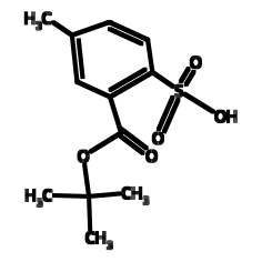 Cc1ccc(S(=O)(=O)O)c(C(=O)OC(C)(C)C)c1